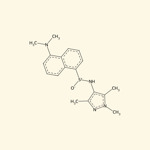 Cc1nn(C)c(C)c1N[S+]([O-])c1cccc2c(N(C)C)cccc12